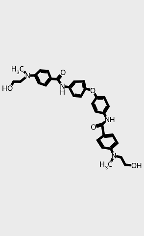 CN(CCO)c1ccc(C(=O)Nc2ccc(Oc3ccc(NC(=O)c4ccc(N(C)CCO)cc4)cc3)cc2)cc1